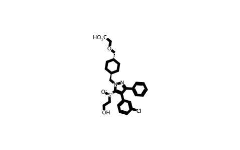 O=C(O)COC[C@H]1CC[C@H](Cn2nc(-c3ccccc3)c(-c3cccc(Cl)c3)c2[S+]([O-])CCO)CC1